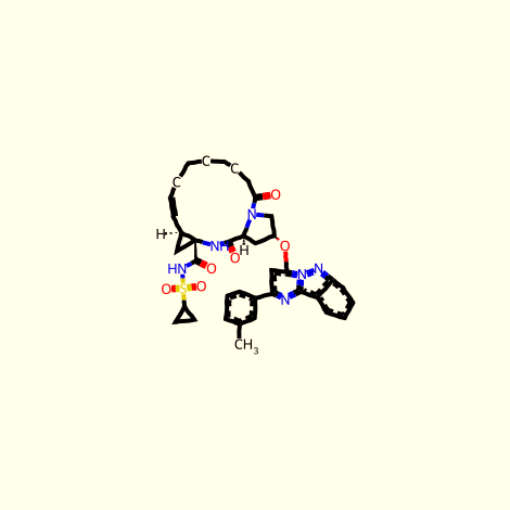 Cc1cccc(-c2cc(O[C@@H]3C[C@H]4C(=O)N[C@]5(C(=O)NS(=O)(=O)C6CC6)C[C@H]5/C=C\CCCCCCC(=O)N4C3)n3nc4ccccc4c3n2)c1